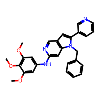 COc1cc(Nc2cc3c(cn2)cc(-c2cccnc2)n3Cc2ccccc2)cc(OC)c1OC